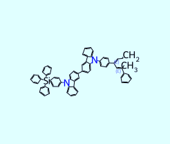 C=C/C=C(\C=C(/C)c1ccccc1)c1ccc(-n2c3ccccc3c3cc(-c4ccc5c(c4)c4ccccc4n5-c4ccc([Si](c5ccccc5)(c5ccccc5)c5ccccc5)cc4)ccc32)cc1